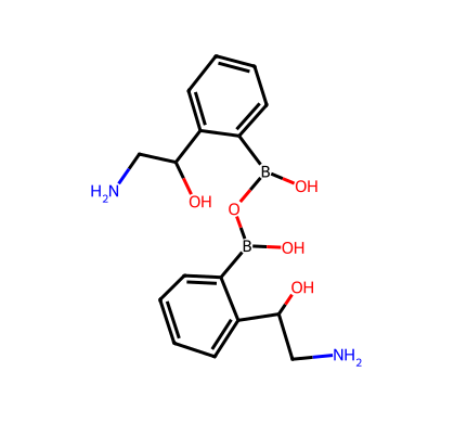 NCC(O)c1ccccc1B(O)OB(O)c1ccccc1C(O)CN